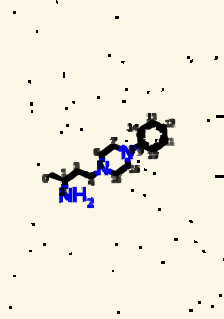 C[C@H](N)CCN1CCN(c2ccccc2)CC1